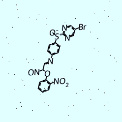 O=NC(C=Nc1ccc([S+]([O-])c2ncc(Br)cn2)cc1)Oc1ccccc1[N+](=O)[O-]